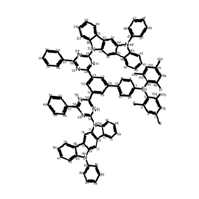 Cc1cc(C)c(B(c2ccc(-c3cc(-c4nc(-c5ccccc5)nc(-n5c6ccccc6c6cc7c(cc65)c5ccccc5n7-c5ccccc5)n4)cc(-c4nc(-c5ccccc5)nc(-n5c6ccccc6c6cc7c(cc65)c5ccccc5n7-c5ccccc5)n4)c3)cc2)c2c(C)cc(C)cc2C)c(C)c1